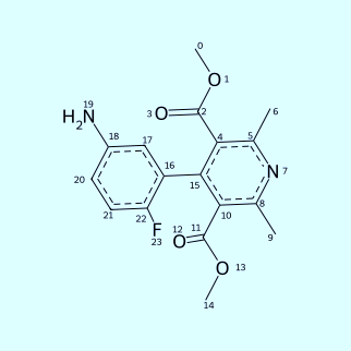 COC(=O)c1c(C)nc(C)c(C(=O)OC)c1-c1cc(N)ccc1F